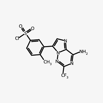 Cc1ccc(S(=O)(=O)Cl)cc1-c1cnc2c(N)nc(C(F)(F)F)nn12